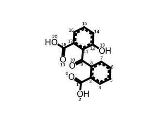 O=C(O)c1ccccc1C(=O)c1c(O)cccc1C(=O)O